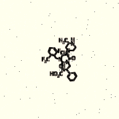 Cc1c(N2CCN[C@H](C)C2)c(=O)n(C[C@H](NC(=O)O)c2ccccc2)c(=O)n1Cc1c(F)cccc1C(F)(F)F